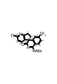 CNC1=NC(=O)[C@@]2(CCc3nc(Cl)ccc32)c2cc(C(F)(F)F)ccc21